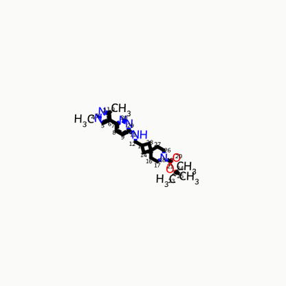 Cc1nn(C)cc1-c1ccc(NCC2CC3(CCN(C(=O)OC(C)(C)C)CC3)C2)nn1